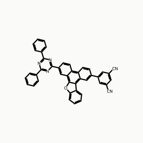 N#Cc1cc(C#N)cc(-c2ccc3c4ccc(-c5nc(-c6ccccc6)nc(-c6ccccc6)n5)cc4c4oc5ccccc5c4c3c2)c1